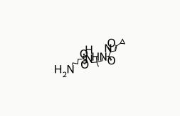 CC(C)(CNC(=O)c1cc(C2CC2)on1)CNS(=O)(=O)CCCN